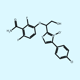 NC(=O)c1c(F)ccc(OC(CO)c2scc(-c3ccc(Cl)cc3)[n+]2[O-])c1F